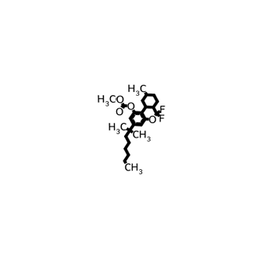 CCCCCCC(C)(C)c1cc(OC(=O)OC)c2c(c1)OC(F)(F)C1CCC(C)CC21